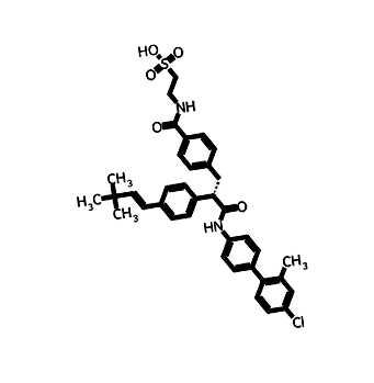 Cc1cc(Cl)ccc1-c1ccc(NC(=O)[C@@H](Cc2ccc(C(=O)NCCS(=O)(=O)O)cc2)c2ccc(/C=C/C(C)(C)C)cc2)cc1